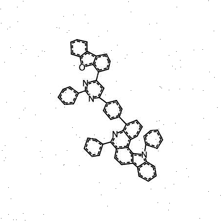 c1ccc(-c2nc(-c3ccc(-c4cccc5c4nc(-c4ccccc4)c4ccc6c7ccccc7n(-c7ccccc7)c6c45)cc3)cc(-c3cccc4c3oc3ccccc34)n2)cc1